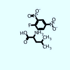 CC(C)CC(N)C(=O)O.O=[N+]([O-])c1ccc(F)c([N+](=O)[O-])c1